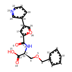 O=C(N[C@@H](COCc1ccccc1)C(=O)O)c1cc(-c2cccnc2)co1